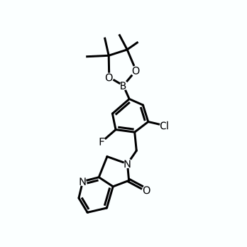 CC1(C)OB(c2cc(F)c(CN3Cc4ncccc4C3=O)c(Cl)c2)OC1(C)C